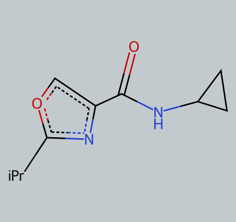 CC(C)c1nc(C(=O)NC2CC2)co1